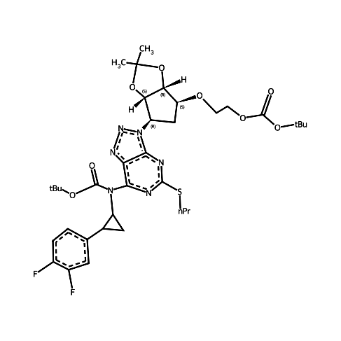 CCCSc1nc(N(C(=O)OC(C)(C)C)C2CC2c2ccc(F)c(F)c2)c2nnn([C@@H]3C[C@H](OCCOC(=O)OC(C)(C)C)[C@H]4OC(C)(C)O[C@H]43)c2n1